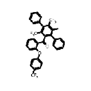 O=C(c1ccccc1Oc1ccc(C(F)(F)F)cc1)c1c(-c2ccccc2)c(I)c(C(F)(F)F)c(-c2ccccc2)c1C(F)(F)F